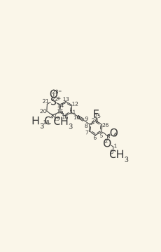 CCOC(=O)c1ccc(C#Cc2ccc3c(c2)C(C)(C)CC[S+]3[O-])c(F)c1